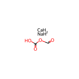 O=COC(=O)O.[CaH2].[NaH]